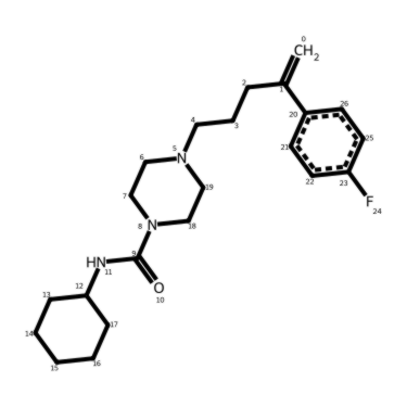 C=C(CCCN1CCN(C(=O)NC2CCCCC2)CC1)c1ccc(F)cc1